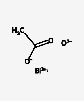 CC(=O)[O-].[Bi+3].[O-2]